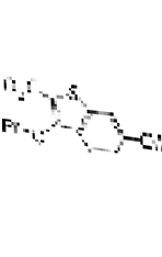 COc1ccc2c(OC(C)C)c(C(=O)O)sc2c1